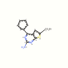 CCOC(=O)c1cc2c(-c3ccccc3)nc(N)nc2s1